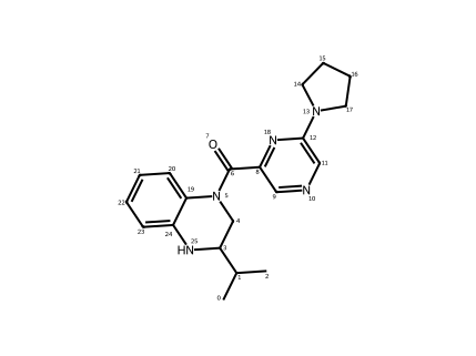 CC(C)C1CN(C(=O)c2cncc(N3CCCC3)n2)c2ccccc2N1